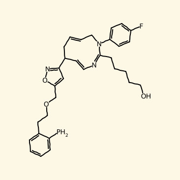 OCCCCC/C1=N/C=C/C(c2cc(COCCc3ccccc3P)on2)C/C=C/CN1c1ccc(F)cc1